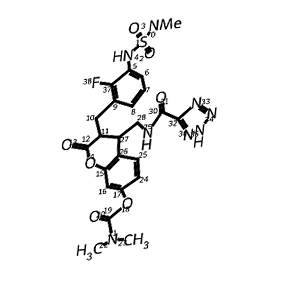 CNS(=O)(=O)Nc1cccc(CC2C(=O)Oc3cc(OC(=O)N(C)C)ccc3C2CNC(=O)c2nn[nH]n2)c1F